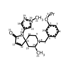 CC(C)Oc1cccc(CN2CC[C@]3(C=CC(=O)N3c3cnn(C)c3)C[C@@H]2C)c1